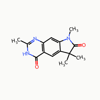 Cc1nc2cc3c(cc2c(=O)[nH]1)C(C)(C)C(=O)N3C